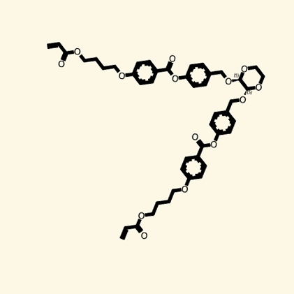 C=CC(=O)OCCCCOc1ccc(C(=O)Oc2ccc(CO[C@H]3OCCO[C@@H]3OCc3ccc(OC(=O)c4ccc(OCCCCOC(=O)C=C)cc4)cc3)cc2)cc1